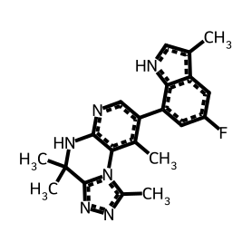 Cc1c(-c2cc(F)cc3c(C)c[nH]c23)cnc2c1-n1c(C)nnc1C(C)(C)N2